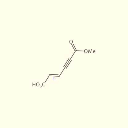 COC(=O)C#C/C=C/C(=O)O